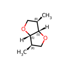 C[C@@H]1CO[C@@H]2[C@H]1OC[C@H]2C